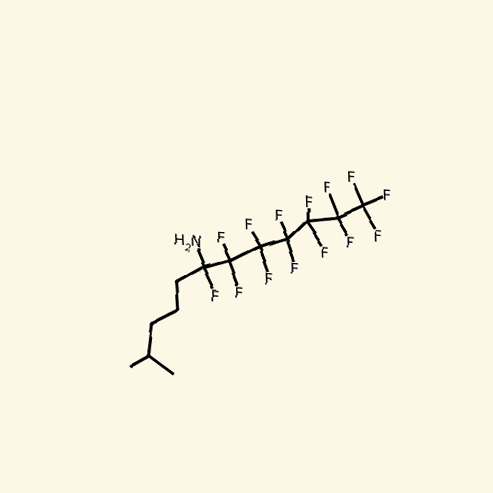 CC(C)CCCC(N)(F)C(F)(F)C(F)(F)C(F)(F)C(F)(F)C(F)(F)C(F)(F)F